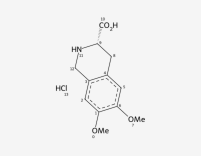 COc1cc2c(cc1OC)C[C@@H](C(=O)O)NC2.Cl